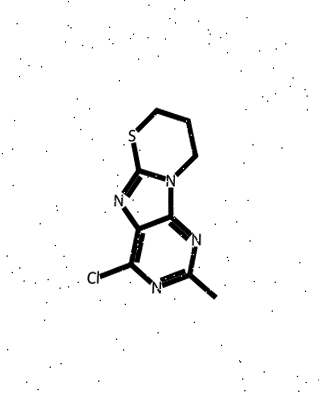 Cc1nc(Cl)c2nc3n(c2n1)CCCS3